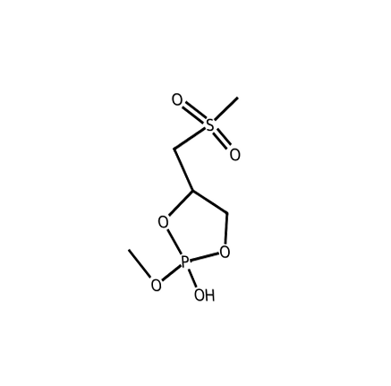 CO[P]1(O)OCC(CS(C)(=O)=O)O1